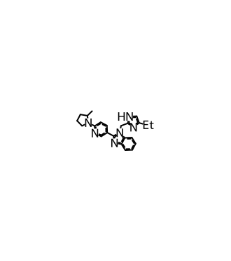 CCc1c[nH]c(Cn2c(-c3ccc(N4CCCC4C)nc3)nc3ccccc32)n1